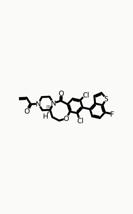 C=CC(=O)N1CCN2C(=O)c3cc(Cl)c(-c4ccc(F)c5sccc45)c(Cl)c3OCC[C@H]2C1